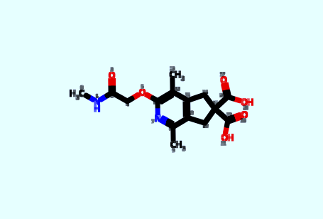 CNC(=O)COc1nc(C)c2c(c1C)CC(C(=O)O)(C(=O)O)C2